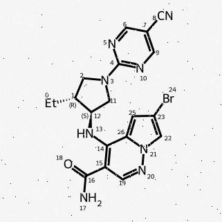 CC[C@@H]1CN(c2ncc(C#N)cn2)C[C@H]1Nc1c(C(N)=O)cnn2cc(Br)cc12